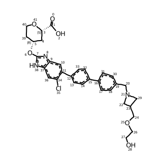 O=C(O)[C@@H]1C[C@H](Oc2nc3cc(-c4ccc(-c5ccc(CN6CC(COCCO)C6)cc5)cc4)c(Cl)cc3[nH]2)CCO1